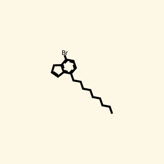 CCCCCCCCCc1ccc(Br)c2c1C=CC2